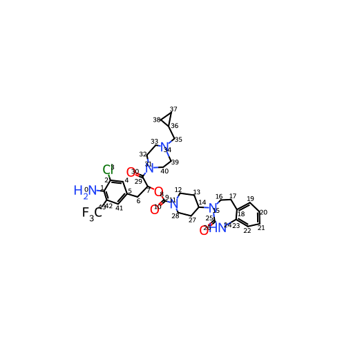 Nc1c(Cl)cc(CC(OC(=O)N2CCC(N3CCc4ccccc4NC3=O)CC2)C(=O)N2CCN(CC3CC3)CC2)cc1C(F)(F)F